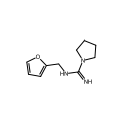 N=C(NCc1ccco1)N1C[CH]CC1